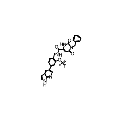 O=C(NCc1ccc(-c2cnc3[nH]ccc3c2)cc1OC(F)(F)F)c1cc(=O)n(Cc2ccccc2)c(=O)[nH]1